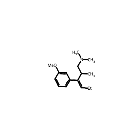 CC/C=C(/c1cccc(OC)c1)C(C)CN(C)C